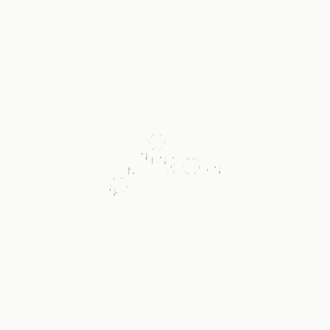 N#Cc1ccc(S(=O)(=O)Nc2ccccc2N2CCN(c3ccncc3)CC2)cc1